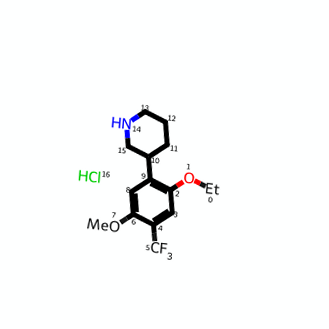 CCOc1cc(C(F)(F)F)c(OC)cc1C1CCCNC1.Cl